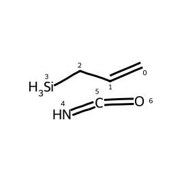 C=CC[SiH3].N=C=O